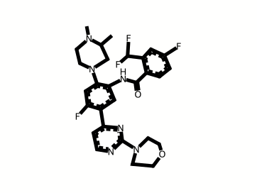 CC1CN(c2cc(F)c(-c3ccnc(N4CCOCC4)n3)cc2NC(=O)c2ccc(F)cc2C(F)F)CCN1C